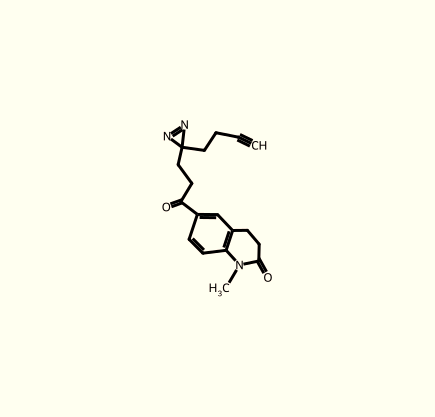 C#CCCC1(CCC(=O)c2ccc3c(c2)CCC(=O)N3C)N=N1